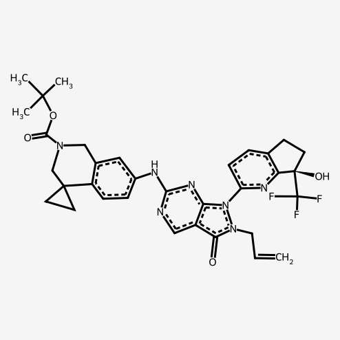 C=CCn1c(=O)c2cnc(Nc3ccc4c(c3)CN(C(=O)OC(C)(C)C)CC43CC3)nc2n1-c1ccc2c(n1)[C@@](O)(C(F)(F)F)CC2